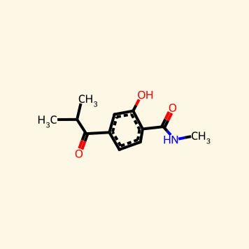 CNC(=O)c1ccc(C(=O)C(C)C)cc1O